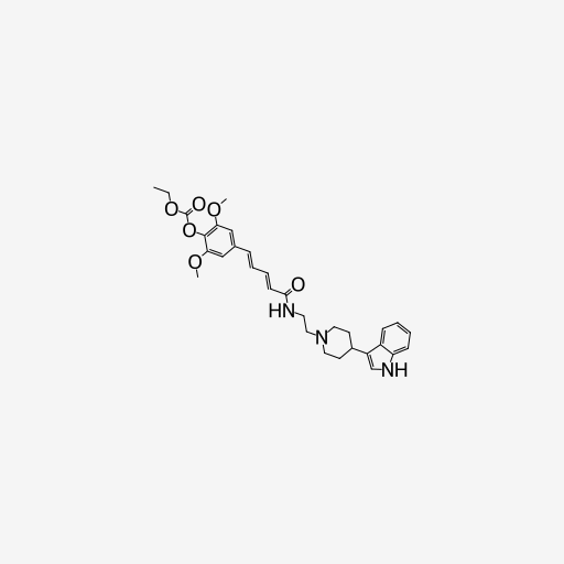 CCOC(=O)Oc1c(OC)cc(/C=C/C=C/C(=O)NCCN2CCC(c3c[nH]c4ccccc34)CC2)cc1OC